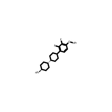 CCCOc1ccc(C2CCC([C@H]3CC[C@H](CCC)CC3)CC2)c(F)c1F